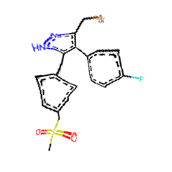 CS(=O)(=O)c1ccc(-c2[nH]nc(CBr)c2-c2ccc(F)cc2)cc1